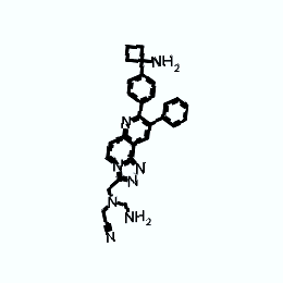 N#CCN(CN)Cc1nnc2c3cc(-c4ccccc4)c(-c4ccc(C5(N)CCC5)cc4)nc3ccn12